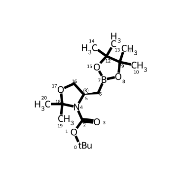 CC(C)(C)OC(=O)N1[C@H](CB2OC(C)(C)C(C)(C)O2)COC1(C)C